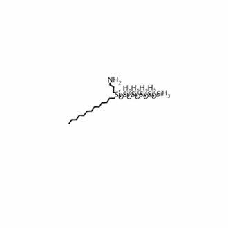 CCCCCCCCCCCCC[Si](C)(CCCN)O[SiH2]O[SiH2]O[SiH2]O[SiH2]O[SiH3]